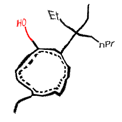 CCCC(C)(CC)c1ccc(C)cc1O